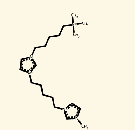 Cn1cc[n+](CCCCC[n+]2ccn(CCCCC[N+](C)(C)C)c2)c1